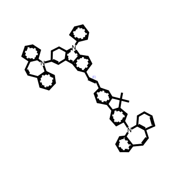 CC1(C)c2cc(/C=C/c3ccc4c(c3)c3c(n4-c4ccccc4)CCC(N4c5ccccc5C=Cc5ccccc54)=C3)ccc2-c2ccc(N3C4=C(C=CCC4)C=Cc4ccccc43)cc21